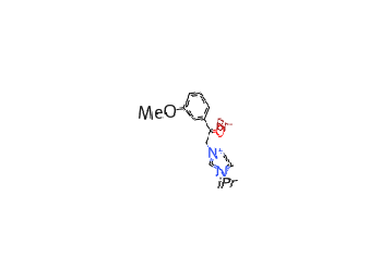 COc1cccc(C(=O)C[n+]2ccn(C(C)C)c2)c1.[Br-]